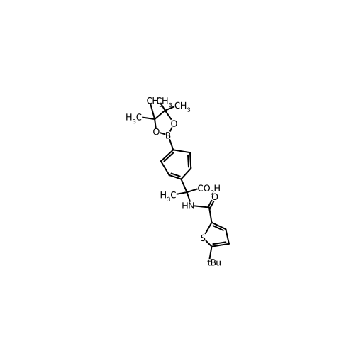 CC(C)(C)c1ccc(C(=O)NC(C)(C(=O)O)c2ccc(B3OC(C)(C)C(C)(C)O3)cc2)s1